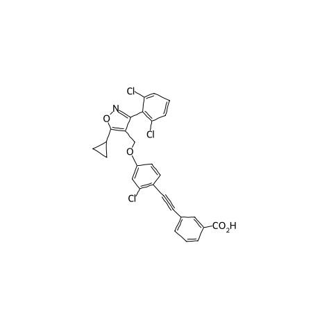 O=C(O)c1cccc(C#Cc2ccc(OCc3c(-c4c(Cl)cccc4Cl)noc3C3CC3)cc2Cl)c1